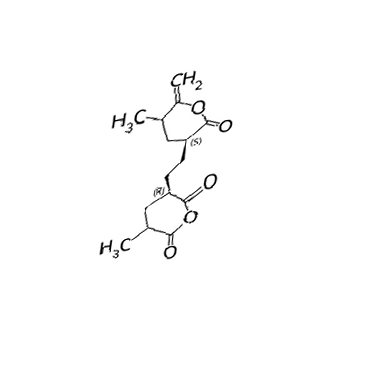 C=C1OC(=O)[C@@H](CC[C@@H]2CC(C)C(=O)OC2=O)CC1C